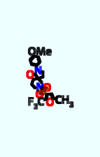 COc1ccc(N2CCC3(CCCN(S(=O)(=O)c4cc(C)oc4C(F)(F)F)C3)C2=O)cc1